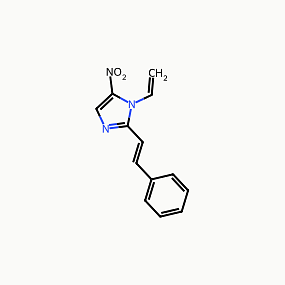 C=Cn1c([N+](=O)[O-])cnc1/C=C/c1ccccc1